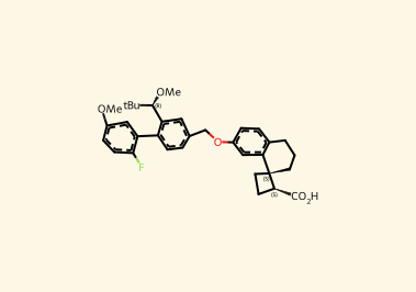 COc1ccc(F)c(-c2ccc(COc3ccc4c(c3)[C@@]3(CCC4)CC[C@@H]3C(=O)O)cc2[C@H](OC)C(C)(C)C)c1